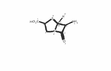 NC1C(=O)N2CC(C(=O)O)S[C@H]12